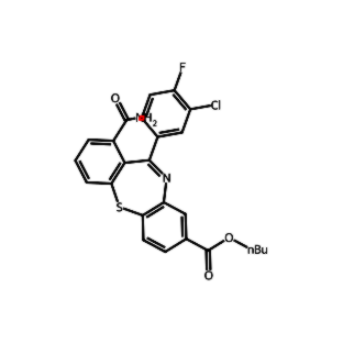 CCCCOC(=O)c1ccc2c(c1)N=C(c1ccc(F)c(Cl)c1)c1c(cccc1C(N)=O)S2